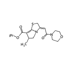 CC(C)OC(=O)C1=C2SCC(=CC(=O)N3CCOCC3)N2CC1C